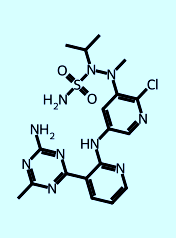 Cc1nc(N)nc(-c2cccnc2Nc2cnc(Cl)c(N(C)N(C(C)C)S(N)(=O)=O)c2)n1